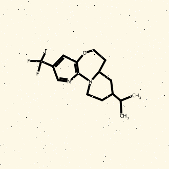 CC(C)C1CCN2c3ncc(C(F)(F)F)cc3OCCC2C1